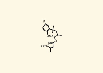 COc1ccc(F)cc1C(C)(C)CC(C)COc1cc(C)n(C(C)C)n1